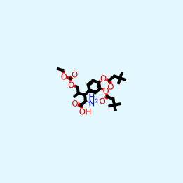 CCOC(=O)OCC(C)C(c1ccc(OC(=O)CC(C)(C)C)c(OC(=O)CC(C)(C)C)c1)[C@H](N)C(=O)O